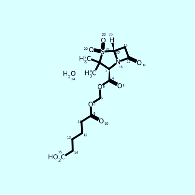 CC1(C)[C@H](C(=O)OCOC(=O)CCCCC(=O)O)N2C(=O)C[C@H]2S1(=O)=O.O